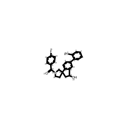 CC(C)c1ccccc1-c1ccc2c(c1)C(O)CC21CCN(C(=O)c2ccc(F)cc2)C1